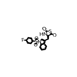 O=C1NC(=Cc2cn(S(=O)(=O)c3ccc(F)cc3)c3ccccc23)C(=O)S1